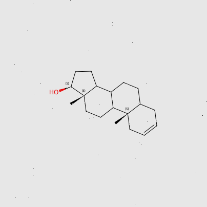 C[C@]12CC=CCC1CCC1C2CC[C@@]2(C)C1CC[C@@H]2O